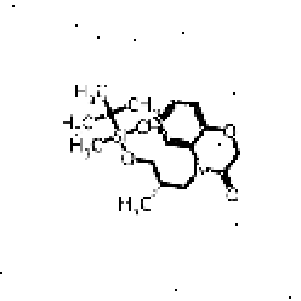 C[C@H](CO[Si](C)(C)C(C)(C)C)CN1C(=O)COc2ccccc21